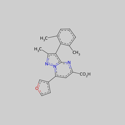 Cc1cccc(C)c1-c1c(C)nn2c(-c3ccoc3)cc(C(=O)O)nc12